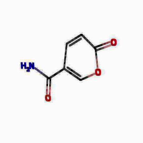 NC(=O)c1ccc(=O)oc1